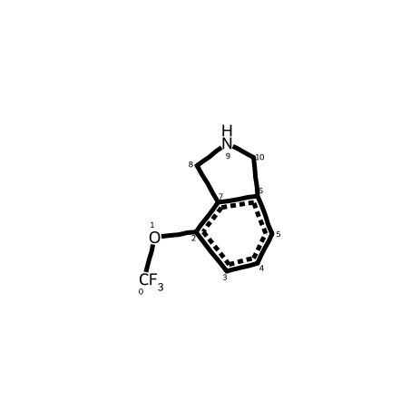 FC(F)(F)Oc1cccc2c1CNC2